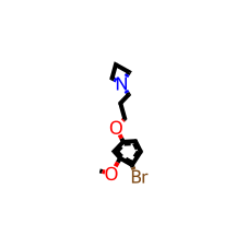 COc1cc(OCCCN2CCC2)ccc1Br